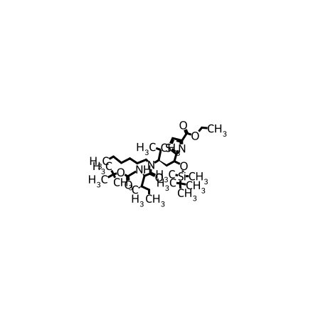 CCCCCCN(C(=O)[C@@H](NC(=O)OC(C)(C)C)[C@@H](C)CC)[C@H](CC(O[Si](C)(C)C(C)(C)C)c1nc(C(=O)OCC)cs1)C(C)C